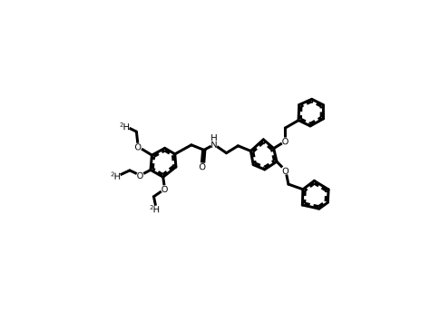 [2H]COc1cc(CC(=O)NCCc2ccc(OCc3ccccc3)c(OCc3ccccc3)c2)cc(OC[2H])c1OC[2H]